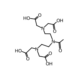 CC(=O)N(CCN(CC(=O)O)CC(=O)O)CCN(CC(=O)O)CC(=O)O